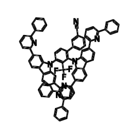 N#Cc1cccc(-c2ccc(-n3c4cc(-c5cccc(-c6ccccc6)n5)ccc4c4ccc(-c5cccc(-c6ccccc6)n5)cc43)c(C(F)(F)F)c2-n2c3cc(-c4cccc(-c5ccccc5)n4)ccc3c3ccc(-c4cccc(-c5ccccc5)n4)cc32)c1